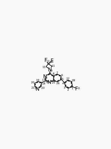 Fc1ccc(-c2ccc3c(N4CC(F)(F)C4)nc(-c4cccnc4)nc3c2)cc1